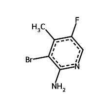 Cc1c(F)cnc(N)c1Br